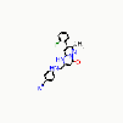 CC1=NN2C(=O)C=C(CNc3ccc(C#N)cc3)NC2C=C1c1ccccc1F